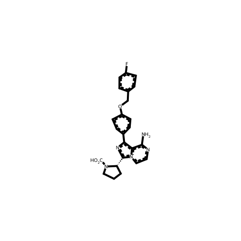 Nc1nccn2c([C@@H]3CCCN3C(=O)O)nc(-c3ccc(OCc4ccc(F)cc4)cc3)c12